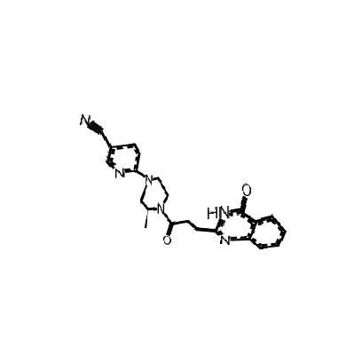 C[C@H]1CN(c2ccc(C#N)cn2)CCN1C(=O)CCc1nc2ccccc2c(=O)[nH]1